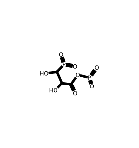 O=C(OP(=O)=O)C(O)C(O)P(=O)=O